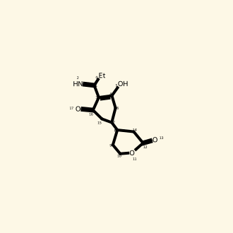 CCC(=N)C1=C(O)CC(C2CCOC(=O)C2)CC1=O